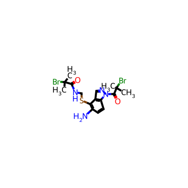 CC(C)(Br)C(=O)NCSc1c(N)ccc2c1cnn2C(=O)C(C)(C)Br